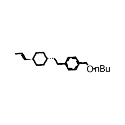 CC=C[C@H]1CC[C@H](CCc2ccc(COCCCC)cc2)CC1